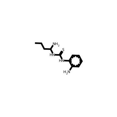 CCCC(N)NC(=S)Nc1ccccc1N